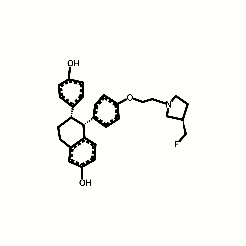 Oc1ccc([C@H]2CCc3cc(O)ccc3[C@H]2c2ccc(OCCN3CC[C@@H](CF)C3)cc2)cc1